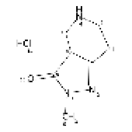 CN1N=C2CCNCC2C1=O.Cl